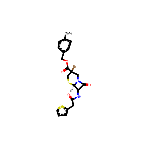 COc1ccc(COC(=O)C2(Br)CS[C@@H]3C(NC(=O)Cc4cccs4)C(=O)N3C2)cc1